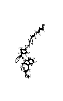 CCCCOCCOCCOc1ccc(C(=O)n2c(C)c(CC(=O)O)c3ccccc32)cc1